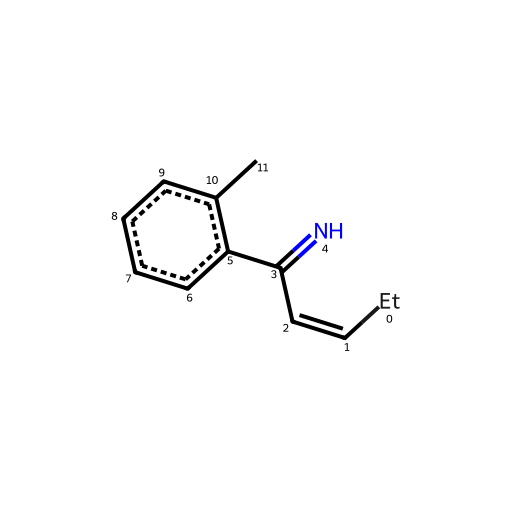 CC/C=C\C(=N)c1ccccc1C